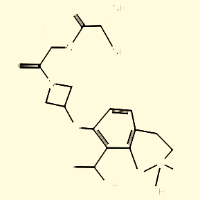 C[C@H](NC(=O)[C@H](N)[NH3+])C(=O)N1CC(Oc2ccc3c(c2C(O)O)O[B-](O)(O)CC3)C1